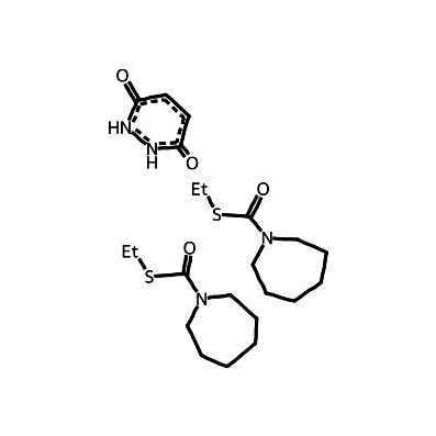 CCSC(=O)N1CCCCCC1.CCSC(=O)N1CCCCCC1.O=c1ccc(=O)[nH][nH]1